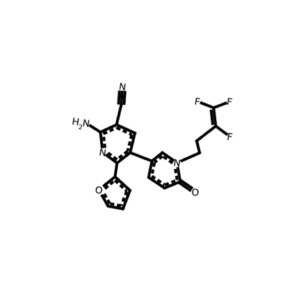 N#Cc1cc(-c2ccc(=O)n(CCC(F)=C(F)F)c2)c(-c2ccco2)nc1N